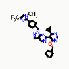 Cn1cc(C(F)(F)F)nc1-c1ccc(Cn2ncc3cnc(-c4c(OCc5ccccc5)ncnc4C4CC4)nc32)cc1